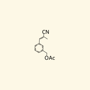 CC(=O)OCc1cccc(C=C(C)C#N)c1